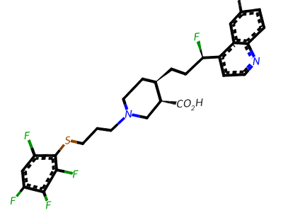 COc1ccc2nccc([C@H](F)CC[C@@H]3CCN(CCCSc4c(F)cc(F)c(F)c4F)C[C@@H]3C(=O)O)c2c1